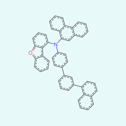 c1cc(-c2ccc(N(c3cc4ccccc4c4ccccc34)c3cccc4oc5ccccc5c34)cc2)cc(-c2cccc3ccccc23)c1